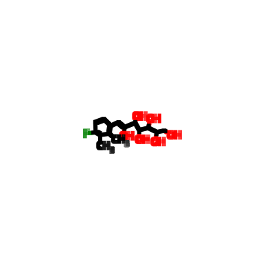 Cc1c(F)ccc(C=C(O)C(O)C(O)C(O)C(O)CO)c1C